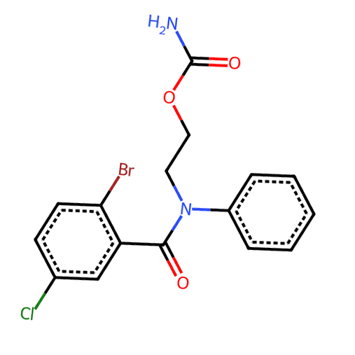 NC(=O)OCCN(C(=O)c1cc(Cl)ccc1Br)c1ccccc1